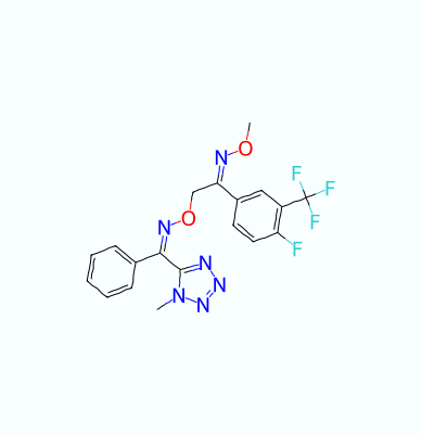 CO/N=C(/CON=C(c1ccccc1)c1nnnn1C)c1ccc(F)c(C(F)(F)F)c1